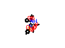 CCOC(=O)C[C@@H]1[C@@H](C(NC(=O)OC(C)(C)C)c2ccccc2)CN(S(=O)(=O)c2ccc(C)cc2)[C@@H]1C(=O)OCC